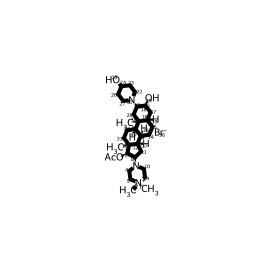 CC(=O)O[C@H]1[C@@H](N2CC[N+](C)(C)CC2)C[C@H]2[C@@H]3CC[C@H]4C[C@H](O)[C@@H](N5CCC(O)CC5)C[C@]4(C)[C@H]3CC[C@@]21C.[Br-]